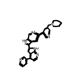 c1cncc(-c2ccnc3[nH]c(-c4n[nH]c5cnc(-c6cncc(CN7CCCCC7)c6)cc45)cc23)c1